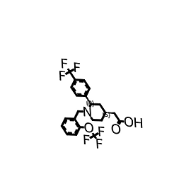 O=C(O)C[C@H]1CCN(Cc2ccccc2OC(F)(F)F)[C@@H](c2ccc(C(F)(F)F)cc2)C1